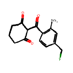 O=C1CCCC(=O)C1C(=O)c1ccc(CF)cc1[N+](=O)[O-]